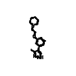 Cc1n[nH]cc1-c1c[c]cc(OCCN2CCCCC2)c1